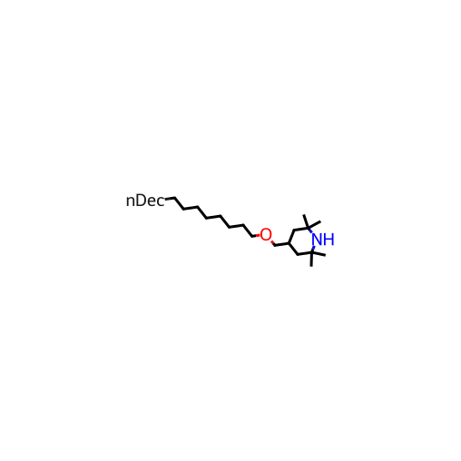 CCCCCCCCCCCCCCCCCCOCC1CC(C)(C)NC(C)(C)C1